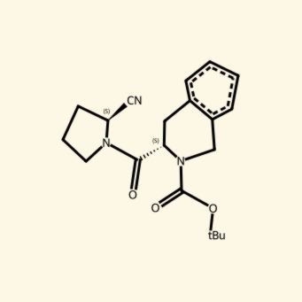 CC(C)(C)OC(=O)N1Cc2ccccc2C[C@H]1C(=O)N1CCC[C@H]1C#N